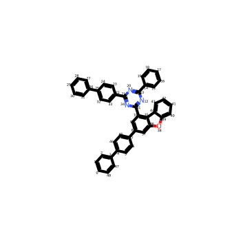 c1ccc(-c2ccc(-c3cc(-c4nc(-c5ccccc5)nc(-c5ccc(-c6ccccc6)cc5)n4)c4c(c3)oc3ccccc34)cc2)cc1